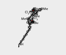 C#CCNCCOCCOCCOCCOCCOCCOc1ccc(C2=CN3C(=O)c4cc(OC)c(OCCCOc5cc6c(cc5OC)C(=O)N5C=C(c7ccc(OC)cc7)CC5C(O[Si](C)(C)C(C)(C)C)N6C(=O)OCC(Cl)(Cl)Cl)cc4N(C(=O)OCC(Cl)(Cl)Cl)C(O[Si](C)(C)C(C)(C)C)C3C2)cc1